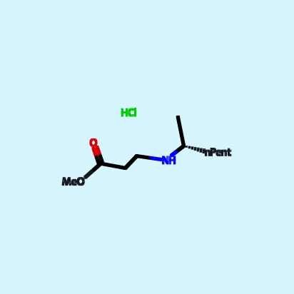 CCCCC[C@@H](C)NCCC(=O)OC.Cl